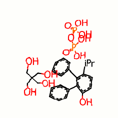 CC(C)c1ccc(O)c(-c2ccccc2)c1-c1ccccc1.O=P(O)(O)OP(=O)(O)O.OCC(CO)(CO)CO